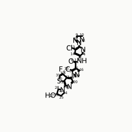 O=C(Nc1cnc(-n2nccn2)c(Cl)c1)c1cnn(-c2cnc(N3CC[C@@H](O)C3)c3sccc23)c1C(F)(F)F